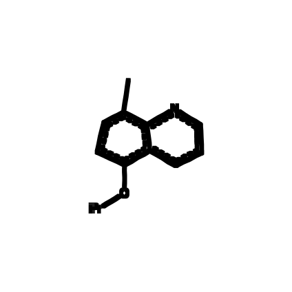 Cc1ccc(OC(C)C)c2cccnc12